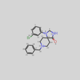 O=C1NCN(c2cccc(Br)c2)C12CCN(Cc1ccccc1)CC2